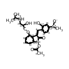 CC(=O)ON1C(=O)C(=Cc2ccc([S+](C)[O-])cc2O)c2c(OCC(O)CNC(C)C)cccc21